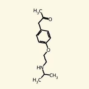 CC(=O)Cc1ccc(OCCNC(C)C)cc1